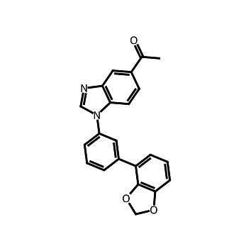 CC(=O)c1ccc2c(c1)ncn2-c1cccc(-c2cccc3c2OCO3)c1